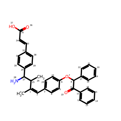 CC(=Cc1ccc(OC(C(=O)c2ccccc2)c2ccccc2)cc1)C(C)C(N)c1ccc(C=CC(=O)O)cc1